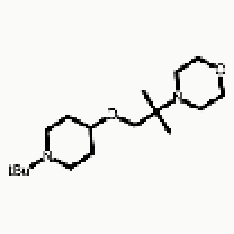 CC(C)(C)N1CCC(OCC(C)(C)N2CCOCC2)CC1